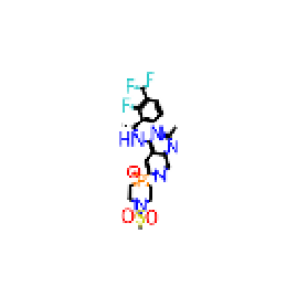 Cc1nc(N[C@H](C)c2cccc(C(F)F)c2F)c2cc(P3(=O)CCN(S(C)(=O)=O)CC3)ncc2n1